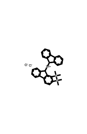 C[Si]1(C)c2ccc3c(c2[Si]1(C)C)[CH]([Zr+2][CH]1c2ccccc2-c2ccccc21)c1ccccc1-3.[Cl-].[Cl-]